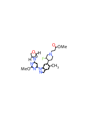 COC(=O)CCN1CCC(c2cc3c(cnn3-c3cc(N4C[C@@H]5C[C@H]4CO5)nc(OC)n3)cc2C)C(F)C1